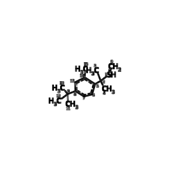 C=[SH]C(C)(C)c1ccc(C(C)(C)C)cc1C